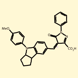 COc1ccc(N2c3ccc(/C=C4\C(=O)N(c5ccccc5)N=C4C(=O)O)cc3C3CCCC32)cc1